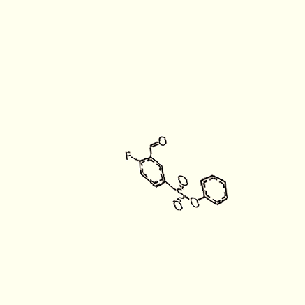 O=Cc1cc(S(=O)(=O)Oc2ccccc2)ccc1F